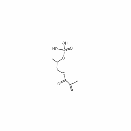 C=C(C)C(=O)OCC(C)OP(=O)(O)O